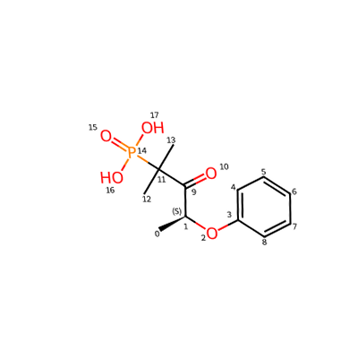 C[C@H](Oc1ccccc1)C(=O)C(C)(C)P(=O)(O)O